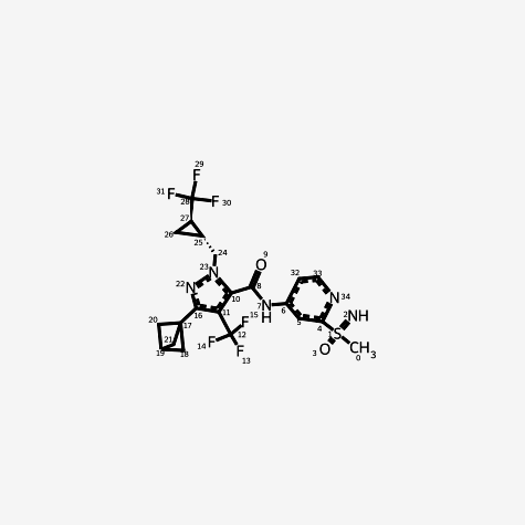 CS(=N)(=O)c1cc(NC(=O)c2c(C(F)(F)F)c(C34CC(C3)C4)nn2C[C@@H]2C[C@H]2C(F)(F)F)ccn1